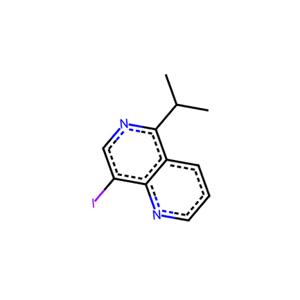 CC(C)c1ncc(I)c2ncccc12